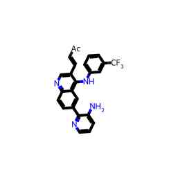 CC(=O)/C=C/c1cnc2ccc(-c3ncccc3N)cc2c1Nc1cccc(C(F)(F)F)c1